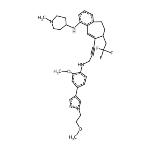 COCCn1cc(-c2ccc(NCC#CC3=Cc4c(cccc4NC4CCN(C)CC4)CCC3CC(F)(F)F)c(OC)c2)cn1